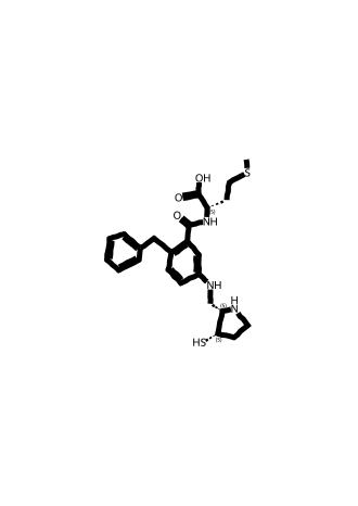 CSCC[C@H](NC(=O)c1cc(NC[C@@H]2NCC[C@@H]2S)ccc1Cc1ccccc1)C(=O)O